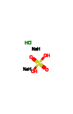 Cl.O=S(=O)(O)O.[NaH].[NaH]